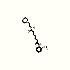 Nc1ccccc1NC(=O)CCCCCC(=O)NCCN1CCOCC1